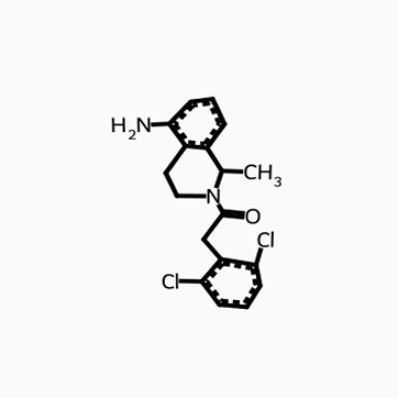 CC1c2cccc(N)c2CCN1C(=O)Cc1c(Cl)cccc1Cl